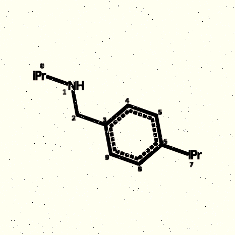 CC(C)NCc1ccc(C(C)C)cc1